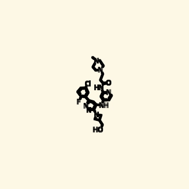 CN1CCN(CCC(=O)Nc2cc(Nc3cc(-c4cc(Cl)ccc4F)nnc3N3CC(CO)C3)ccn2)CC1